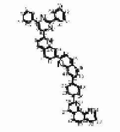 c1ccc(-c2cc(-c3ccc4ccc(-c5ccc6ccc(-c7ccc(-c8ccc9ccc%10cccnc%10c9n8)cc7)cc6n5)cc4n3)nc(-c3ccccc3)n2)cc1